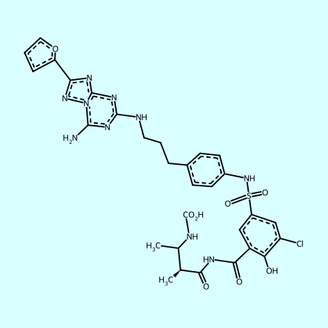 CC(NC(=O)O)[C@H](C)C(=O)NC(=O)c1cc(S(=O)(=O)Nc2ccc(CCCNc3nc(N)n4nc(-c5ccco5)nc4n3)cc2)cc(Cl)c1O